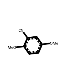 [C-]#[N+]c1cc(OC)ccc1OC